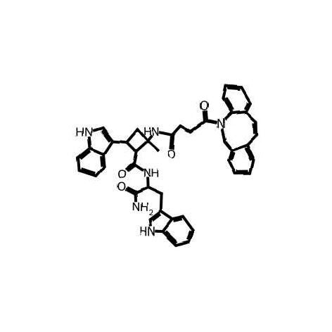 CC1(NC(=O)CCC(=O)N2Cc3ccccc3/C=C\c3ccccc32)CC(c2c[nH]c3ccccc23)C1C(=O)NC(Cc1c[nH]c2ccccc12)C(N)=O